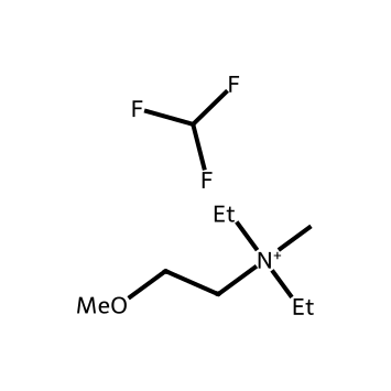 CC[N+](C)(CC)CCOC.FC(F)F